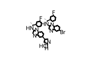 C[C@@H](Nc1cnc2cc(-c3cn[nH]c3)ccc2n1)c1cccc(F)c1.C[C@@H](Nc1cnc2cc(Br)ccc2n1)c1cccc(F)c1.Cl